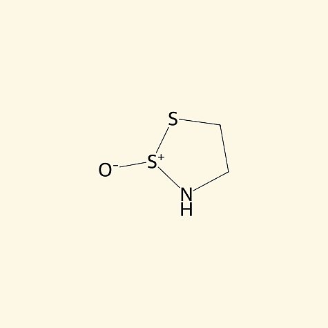 [O-][S+]1NCCS1